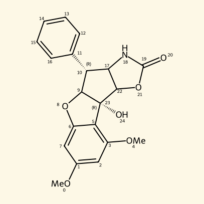 COc1cc(OC)c2c(c1)OC1[C@H](c3ccccc3)C3NC(=O)OC3[C@@]21O